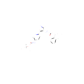 Cc1nc(-c2onc(C)c2CNC(=O)O[C@H](C)c2ccccc2Cl)ccc1NC(=O)OC(C)(C)C